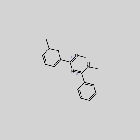 C/N=C(\N=C(/NC)c1ccccc1)C1=CC=CC(C)C1